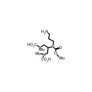 CC(C)(C)OC(=O)N(CCCN)C(CN(C(=O)O)C(C)(C)C)CN(C(=O)O)C(C)(C)C